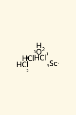 Cl.Cl.Cl.O.[Sc]